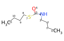 CCCCNC(=O)SCCCC